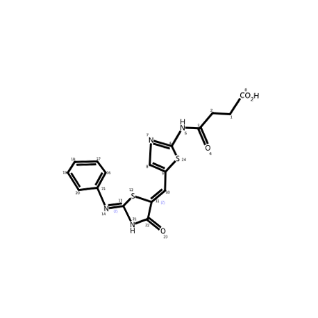 O=C(O)CCC(=O)Nc1ncc(/C=C2\S/C(=N\c3ccccc3)NC2=O)s1